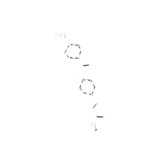 CNc1ccc(C(=O)Oc2ccc(/C=C/C(=O)N=O)cc2)cc1